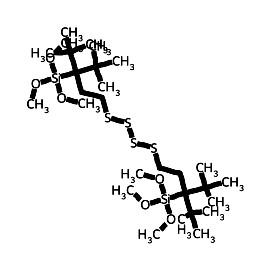 CO[Si](OC)(OC)C(CCSSSSCCC(C(C)(C)C)(C(C)(C)C)[Si](OC)(OC)OC)(C(C)(C)C)C(C)(C)C